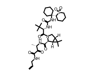 C=CCNC(=O)C(=O)[C@H](C)NC(=O)[C@@H]1[C@@H]2[C@H](CN1C(=O)[C@@H](NC(=O)NC1([C@H]3CCCCS3(=O)=O)CCCCC1)C(C)(C)C)C2(C)C